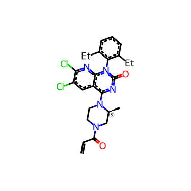 C=CC(=O)N1CCN(c2nc(=O)n(-c3c(CC)cccc3CC)c3nc(Cl)c(Cl)cc23)[C@@H](C)C1